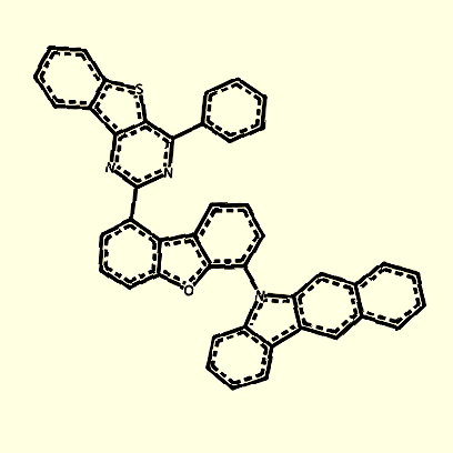 c1ccc(-c2nc(-c3cccc4oc5c(-n6c7ccccc7c7cc8ccccc8cc76)cccc5c34)nc3c2sc2ccccc23)cc1